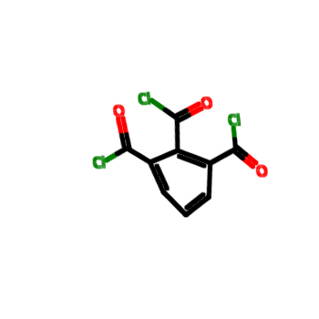 O=C(Cl)c1cccc(C(=O)Cl)c1C(=O)Cl